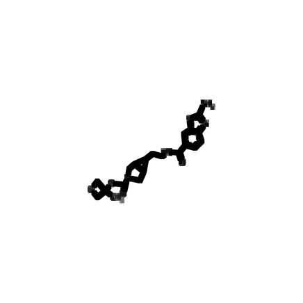 CC1(OC(=O)N2CC3C(CCNC(=O)c4ccc5nc(N)sc5c4)C3C2)COC1